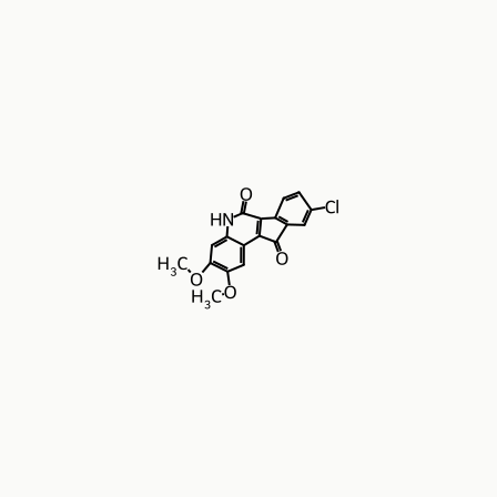 COc1cc2[nH]c(=O)c3c(c2cc1OC)C(=O)c1cc(Cl)ccc1-3